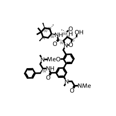 CNC(=O)CN(C)c1cc(C(=O)N[C@@H](Cc2ccccc2)CN(C)C)cc(-c2cccc(CN3O[C@@H](CO)[C@@H]([C@H](C)O)[C@H]3C(=O)N[C@H]3C[C@@H](C)C(C)(C)[C@@H](C)[C@@H]3C)c2OC)c1